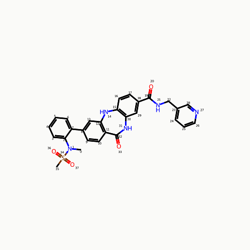 CN(c1ccccc1-c1ccc2c(c1)Nc1ccc(C(=O)NCc3cccnc3)cc1NC2=O)S(C)(=O)=O